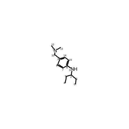 CCC(CC)Nc1ccc(CN(C)C)cc1